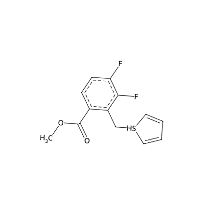 COC(=O)c1ccc(F)c(F)c1C[SH]1C=CC=C1